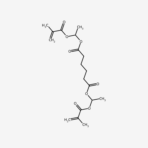 C=C(C)C(=O)OC(C)OC(=O)CCCCC(=O)OC(C)OC(=O)C(=C)C